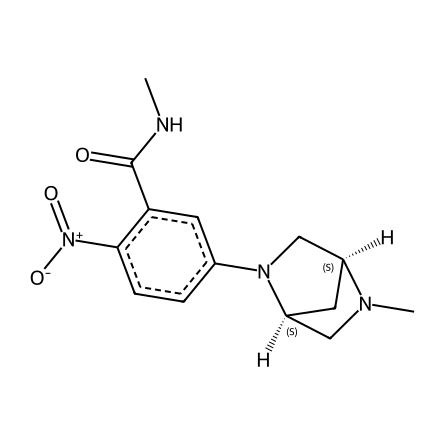 CNC(=O)c1cc(N2C[C@@H]3C[C@H]2CN3C)ccc1[N+](=O)[O-]